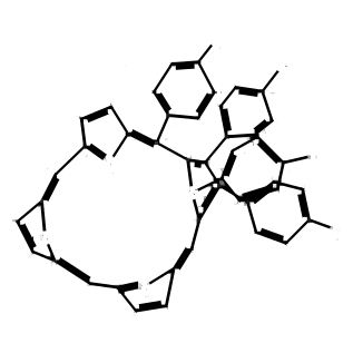 Brc1ccc(-c2c(-c3ccc(Br)cc3)c3c(-c4ccc(Br)cc4)c4nc(cc5ccc(cc6nc(cc2n3-c2ccc(Br)cc2)C=C6)[nH]5)C=C4)cc1.[Pd]